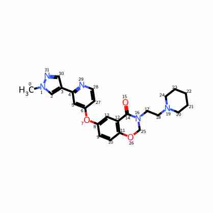 Cn1cc(-c2cc(Oc3ccc4c(c3)C(=O)N(CCN3CCCCC3)CO4)ccn2)cn1